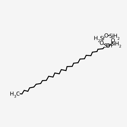 CCCCCCCCCCCCCCCCCCCCCCCCCCCC[SiH]1O[SiH2]O[SiH2]O[SiH2]O1